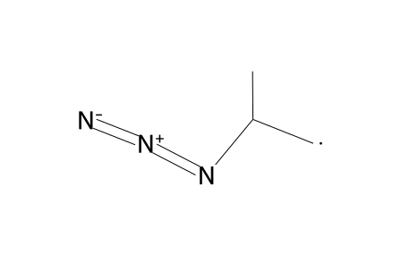 [CH2]C(C)N=[N+]=[N-]